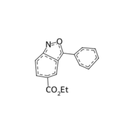 CCOC(=O)c1ccc2noc(-c3ccccc3)c2c1